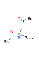 CC(C)(C)C(=O)N[C@@H](CSC(=O)C(C)(C)C)C(=O)O